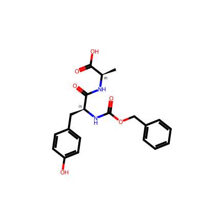 C[C@@H](NC(=O)[C@H](Cc1ccc(O)cc1)NC(=O)OCc1ccccc1)C(=O)O